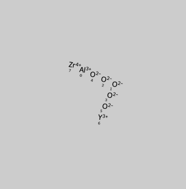 [Al+3].[O-2].[O-2].[O-2].[O-2].[O-2].[Y+3].[Zr+4]